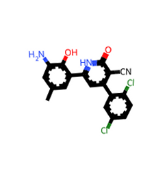 Cc1cc(N)c(O)c(-c2cc(-c3cc(Cl)ccc3Cl)c(C#N)c(=O)[nH]2)c1